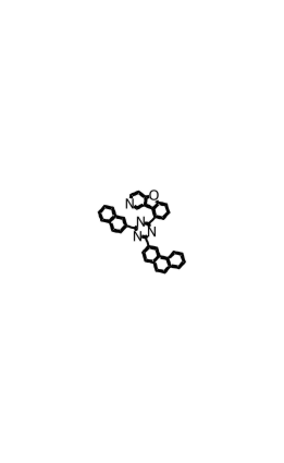 c1ccc2cc(-c3nc(-c4ccc5ccc6ccccc6c5c4)nc(-c4cccc5oc6ccncc6c45)n3)ccc2c1